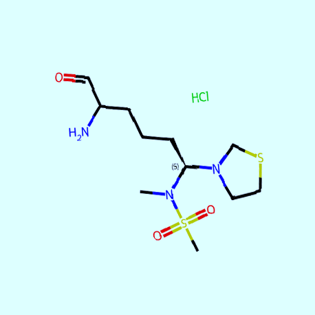 CN([C@@H](CCCC(N)C=O)N1CCSC1)S(C)(=O)=O.Cl